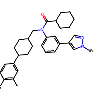 COc1ccc(C2CCC(CN(C(=O)C3CCCCC3)c3cccc(-c4cnn(C(C)C)c4)c3)CC2)cc1C